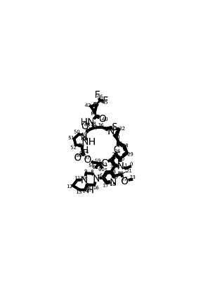 CCn1c(-c2cc(N3CCN4CCCC[C@@H]4C3)cnc2[C@H](C)OC)c2c3cc(ccc31)-c1csc(n1)C[C@H](NC(=O)[C@@H]1C[C@H]1C(F)F)C(=O)N1CCC[C@H](N1)C(=O)OCC(C)(C)C2